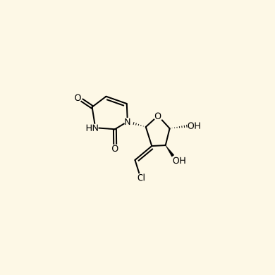 O=c1ccn([C@@H]2O[C@H](O)[C@@H](O)/C2=C\Cl)c(=O)[nH]1